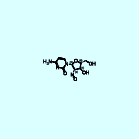 Nc1ccn([C@@H]2O[C@H](CO)[C@@H](O)[C@@H]2N=O)c(=O)n1